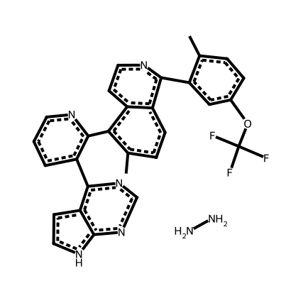 Cc1ccc(OC(F)(F)F)cc1-c1nccc2c(-c3ncccc3-c3ncnc4[nH]ccc34)c(C)ccc12.NN